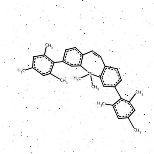 Cc1cc(C)c(-c2ccc3c(c2)[Si](C)(C)c2cc(-c4c(C)cc(C)cc4C)ccc2C=C3)c(C)c1